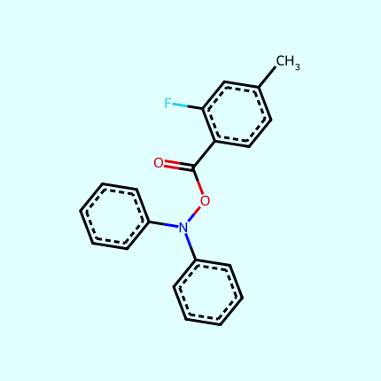 Cc1ccc(C(=O)ON(c2ccccc2)c2ccccc2)c(F)c1